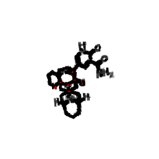 NC(=O)c1cc(-c2nc3ccccc3n([C@@H]3C[C@H]4CCC[C@@H](C3)N4[C@@H]3C[C@@H]4CCCC[C@@H](C4)C3)c2=O)c[nH]c1=O